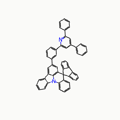 c1ccc(-c2cc(-c3ccccc3)nc(-c3cccc(-c4cc5c6c(c4)c4ccccc4n6-c4ccccc4C54c5ccccc5-c5ccccc54)c3)c2)cc1